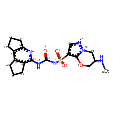 CCNC1COc2c(S(=O)(=O)NC(=O)Nc3nc4c(c5c3CCC5)CCC4)cnn2C1